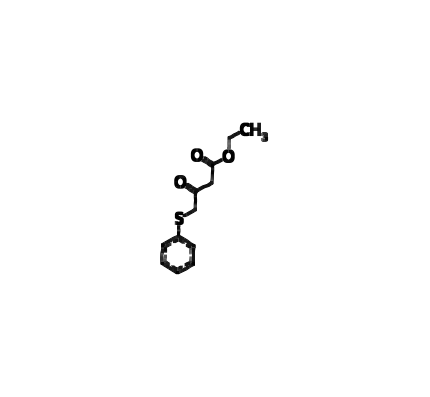 CCOC(=O)CC(=O)CSc1ccccc1